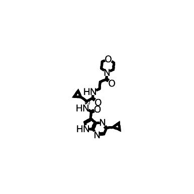 O=C(N[C@@H](C(=O)NCCC(=O)N1CCOCC1)C1CC1)c1c[nH]c2ncc(C3CC3)nc12